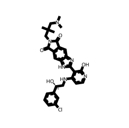 CN(C)CC(C)(C)CN1C(=O)c2cc3nc(-c4c(NC[C@@H](O)c5cccc(Cl)c5)ccnc4O)[nH]c3cc2C1=O